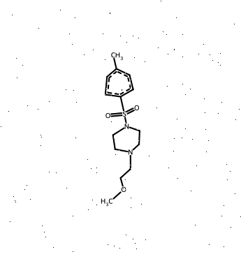 COCCN1CCN(S(=O)(=O)c2ccc(C)cc2)CC1